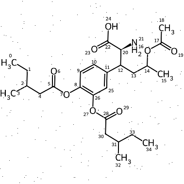 CCC(C)CC(=O)Oc1ccc(C(CC(C)OC(C)=O)[C@H](N)C(=O)O)cc1OC(=O)CC(C)CC